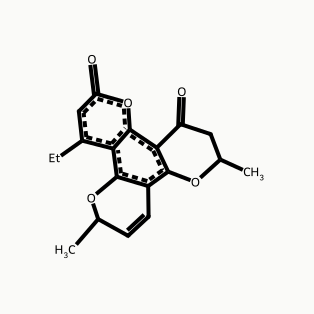 CCc1cc(=O)oc2c3c(c4c(c12)OC(C)C=C4)OC(C)CC3=O